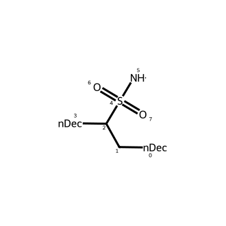 CCCCCCCCCCCC(CCCCCCCCCC)S([NH])(=O)=O